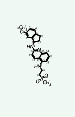 COc1ccc2c(c1)C(Nc1ccc3c(NCCS(C)(=O)=O)cccc3n1)CC2